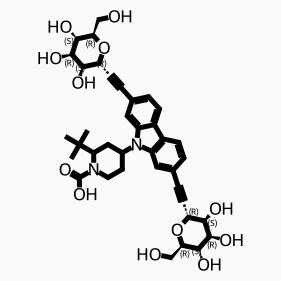 CC(C)(C)C1CC(n2c3cc(C#C[C@H]4O[C@H](CO)[C@@H](O)[C@H](O)[C@@H]4O)ccc3c3ccc(C#C[C@H]4O[C@H](CO)[C@@H](O)[C@H](O)[C@@H]4O)cc32)CCN1C(=O)O